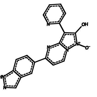 [O-][n+]1c(O)c(-c2ccccn2)c2nc(-c3ccc4[nH]ncc4c3)ccn21